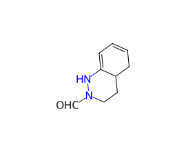 O=CN1CCC2CC=CC=C2N1